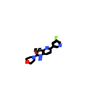 O=C(Nc1ccc(-c2cncc(F)c2)nc1C(F)(F)F)N1CCOCC1